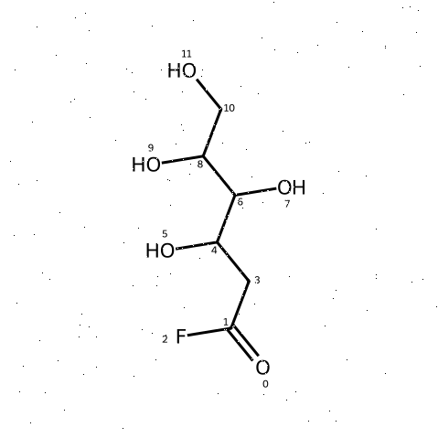 O=C(F)CC(O)C(O)C(O)CO